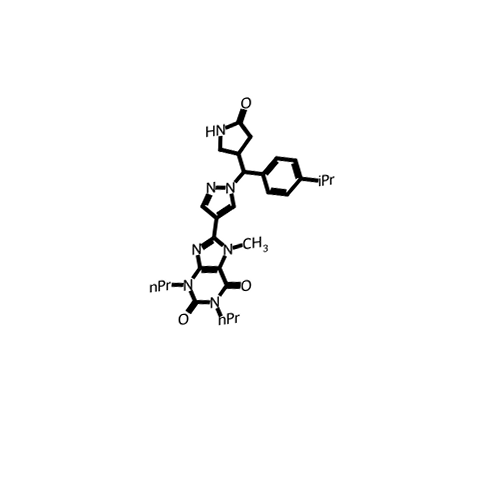 CCCn1c(=O)c2c(nc(-c3cnn(C(c4ccc(C(C)C)cc4)C4CNC(=O)C4)c3)n2C)n(CCC)c1=O